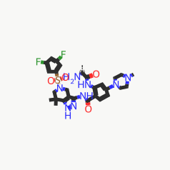 C[C@@H](N)C(=O)Nc1cc(N2CCN(C)CC2)ccc1C(=O)Nc1n[nH]c2c1CN(S(=O)(=O)c1cc(F)cc(F)c1)CC2(C)C